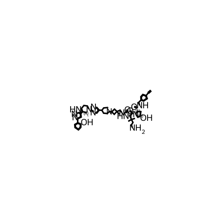 C#Cc1ccc(CNC(=O)[C@@H]2C[C@@H](O)CN2C(=O)[C@@H](NC(=O)N2CC3(CC(N4CCC(c5cnc(N6CCc7[nH]c8nnc(-c9ccccc9O)cc8c7[C@H]6C)nc5)CC4)C3)C2)C(C)(C)CCN)cc1